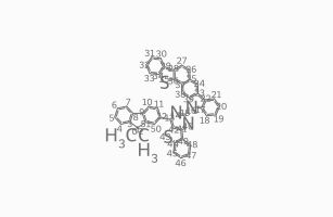 CC1(C)c2ccccc2-c2ccc(-c3nc(-n4c5ccccc5c5cc6ccc7c8ccccc8sc7c6cc54)nc4c3sc3ccccc34)cc21